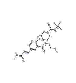 CCCCN1C(=O)c2cc(/C=C/C(=O)OC)ccc2OC12CCN(C(=O)OC(C)(C)C)CC2